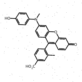 Cc1cc(C(=O)O)ccc1-c1c2ccc(=O)cc-2oc2cc(N(C)c3ccc(O)cc3)ccc12